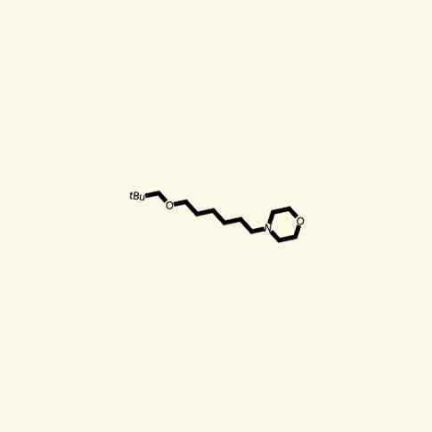 CC(C)(C)COCCCCCCN1CCOCC1